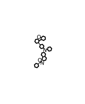 c1ccc(-c2nc3ccc4cc(N(c5ccccc5)c5ccc(-c6cccc7oc8ccccc8c67)cc5)ccc4c3o2)cc1